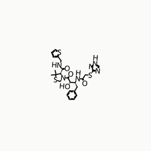 CC1(C)SCN(C(=O)[C@@H](O)[C@H](Cc2ccccc2)NC(=O)CSc2nc[nH]n2)[C@@H]1C(=O)NCc1cccs1